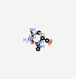 Cc1[nH]c2ccccc2c1C[C@H]1C(=O)NCc2cc(-c3ccc(S(C)(=O)=O)cc3)cc(Cl)c2Sc2ncccc2CN[C@@H](CCCN)C(=O)N[C@@H](CN)C(=O)N1C